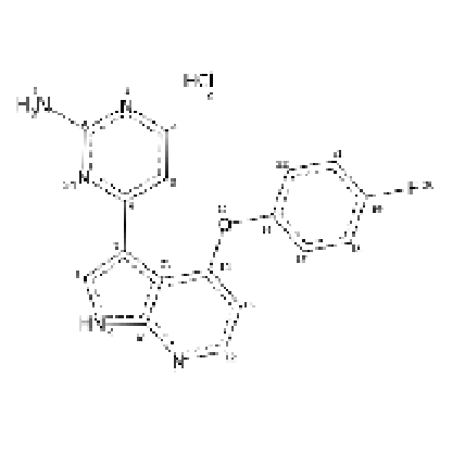 Cl.Nc1nccc(-c2c[nH]c3nccc(Oc4ccc(F)cc4)c23)n1